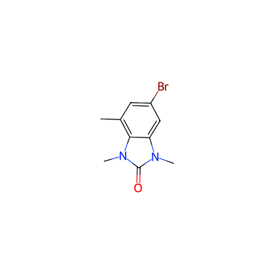 Cc1cc(Br)cc2c1n(C)c(=O)n2C